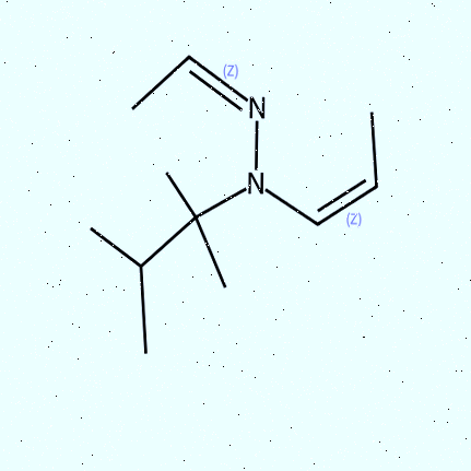 C/C=C\N(/N=C\C)C(C)(C)C(C)C